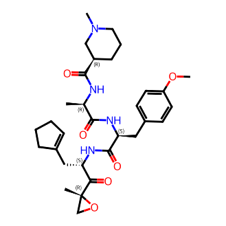 COc1ccc(C[C@H](NC(=O)[C@@H](C)NC(=O)[C@@H]2CCCN(C)C2)C(=O)N[C@@H](CC2=CCCC2)C(=O)[C@@]2(C)CO2)cc1